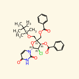 CC(C)(C)[Si](C)(C)OC[C@]1(COC(=O)c2ccccc2)O[C@@H](n2ccc(=O)[nH]c2=O)[C@H](Cl)[C@@H]1OC(=O)c1ccccc1